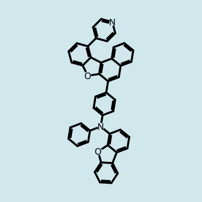 c1ccc(N(c2ccc(-c3cc4ccccc4c4c3oc3cccc(-c5ccncc5)c34)cc2)c2cccc3c2oc2ccccc23)cc1